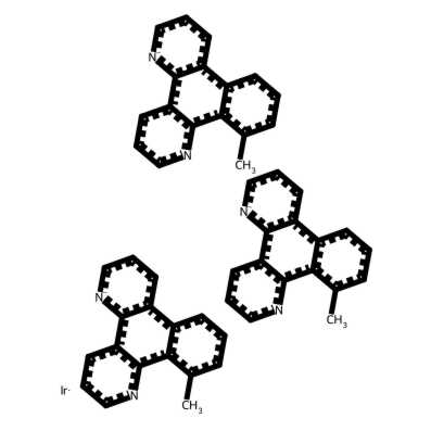 Cc1cccc2c3cccnc3c3cccnc3c12.Cc1cccc2c3cccnc3c3cccnc3c12.Cc1cccc2c3cccnc3c3cccnc3c12.[Ir]